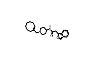 O=C(Cc1occ2ccccc12)NC1CCN(CC2=CCCCCCC2)CC1